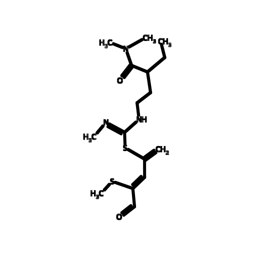 C=C(/C=C(/C=O)SC)S/C(=N\C)NCCC(CC)C(=O)N(C)C